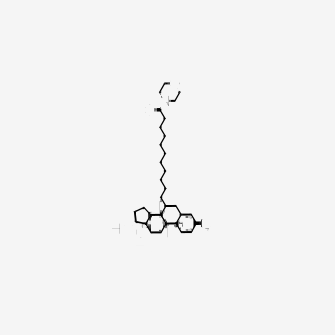 C[C@]12CCC(=O)CC1CC(CCCCCCCCCCC(=O)N1CCOCC1)[C@@H]1[C@H]2CC[C@]2(C)C(O)CC[C@@H]12